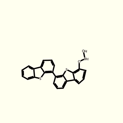 OBOc1cccc2c1sc1c(-c3cccc4c3sc3ccccc34)cccc12